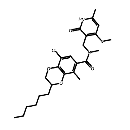 CCCCCCC1COc2c(Cl)cc(C(=O)N(C)Cc3c(SC)cc(C)[nH]c3=O)c(C)c2O1